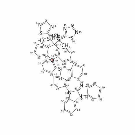 C[Si](C)(c1ncns1)C1([Si](C)(C)c2ncns2)c2ccccc2Oc2c1cccc2[Si](c1ccccc1)(c1ccccc1)c1cccc(-n2c3ccccc3n3c4ccccc4nc23)c1